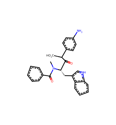 CN(C(=O)c1ccccc1)[C@@H](Cc1c[nH]c2ccccc12)C(=O)C(C(=O)O)c1ccc(N)cc1